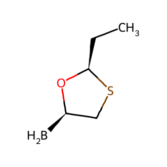 B[C@@H]1CS[C@H](CC)O1